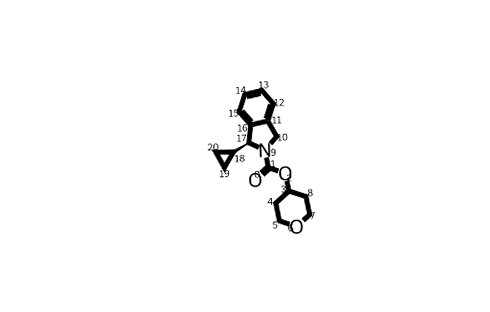 O=C(OC1CCOCC1)N1Cc2ccccc2[C@@H]1C1CC1